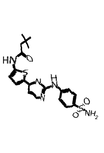 CC(C)(C)CC(=O)Nc1ccc(-c2ccnc(Nc3ccc(S(N)(=O)=O)cc3)n2)s1